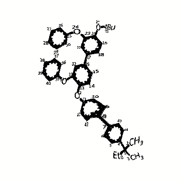 CCC(C)(C)c1ccc(-c2ccc(Oc3ccc(-c4ccc(OC(C)(C)C)c(Oc5ccccc5)c4)cc3Oc3ccccc3)cc2)cc1